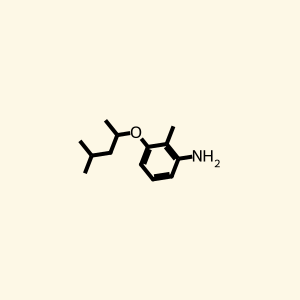 Cc1c(N)cccc1OC(C)CC(C)C